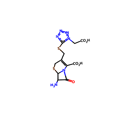 NC1C(=O)N2C(C(=O)O)=C(CSc3nnnn3CC(=O)O)CSC12